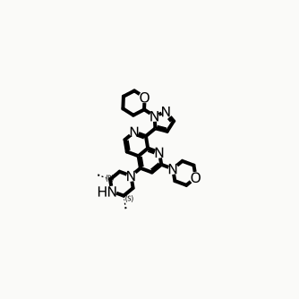 C[C@@H]1CN(c2cc(N3CCOCC3)nc3c(-c4ccnn4C4CCCCO4)nccc23)C[C@H](C)N1